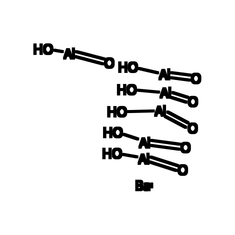 [Ba].[O]=[Al][OH].[O]=[Al][OH].[O]=[Al][OH].[O]=[Al][OH].[O]=[Al][OH].[O]=[Al][OH]